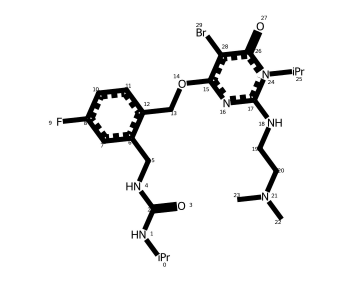 CC(C)NC(=O)NCc1cc(F)ccc1COc1nc(NCCN(C)C)n(C(C)C)c(=O)c1Br